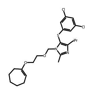 Cc1nc(C(C)C)c(Sc2cc(Cl)cc(Cl)c2)n1COCCOC1=CCCCCC1